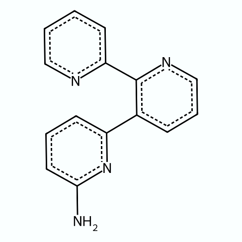 Nc1cccc(-c2cccnc2-c2ccccn2)n1